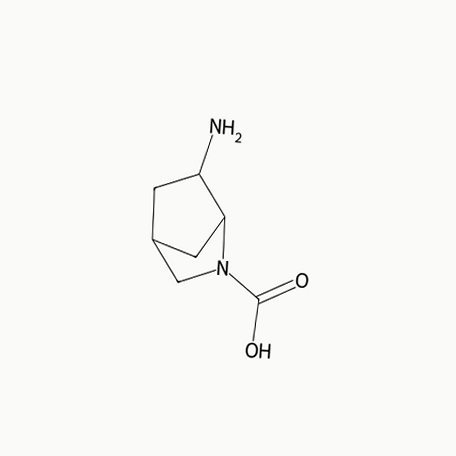 NC1CC2CC1N(C(=O)O)C2